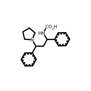 O=C(O)NC(CC(c1ccccc1)N1CCCC1)c1ccccc1